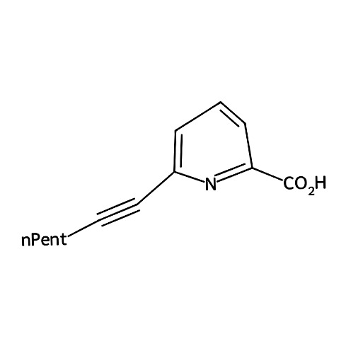 CCCCCC#Cc1cccc(C(=O)O)n1